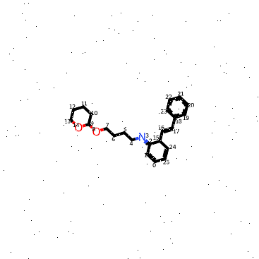 C1=CC(=NCCCCOC2CCCCO2)C(C=Cc2ccccc2)C=C1